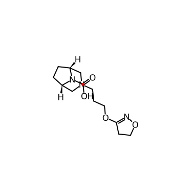 O=C(O)N1[C@@H]2CC[C@H]1CN(CCCOC1=NOCC1)C2